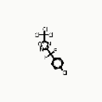 FC(F)(c1ccc(Cl)cc1)c1noc(C(Cl)(Cl)Cl)n1